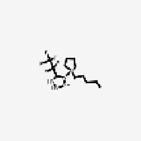 CCCCC[N+]1(N2NNNC2C(F)(F)C(F)(F)F)CCCC1